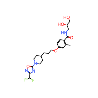 Cc1cc(OCCCC2CCN(c3nc(C(F)F)no3)CC2)ccc1C(=O)NC[C@@H](O)CO